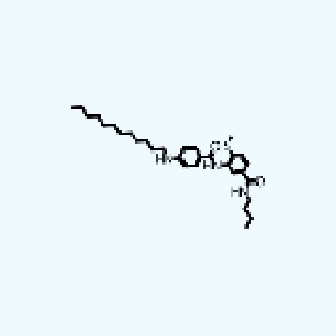 CCCCCCCCCCCCNc1ccc(C(=O)Nc2cc(C(=O)NCCCC)ccc2SC)cc1